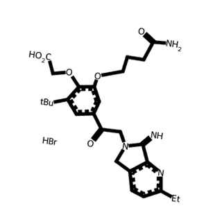 Br.CCc1ccc2c(n1)C(=N)N(CC(=O)c1cc(OCCCC(N)=O)c(OCC(=O)O)c(C(C)(C)C)c1)C2